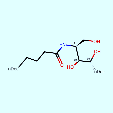 CCCCCCCCCCCCCC(=O)N[C@@H](CO)[C@H](O)[C@H](O)CCCCCCCCCC